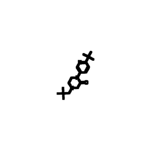 CC(C)(C)CN1CCN(c2ccc(C(C)(C)C)nc2)C(=O)C1